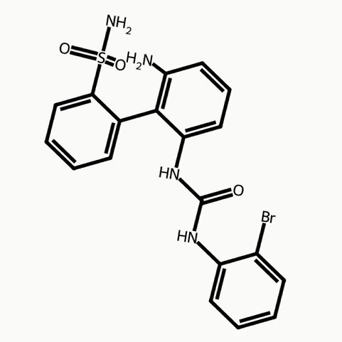 Nc1cccc(NC(=O)Nc2ccccc2Br)c1-c1ccccc1S(N)(=O)=O